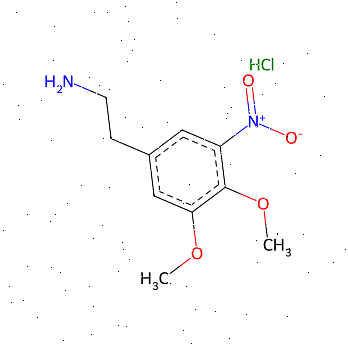 COc1cc(CCN)cc([N+](=O)[O-])c1OC.Cl